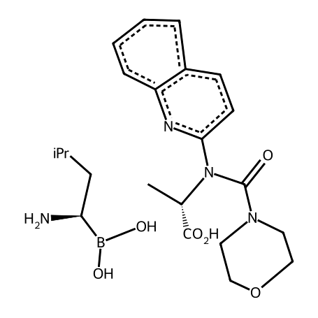 CC(C)C[C@H](N)B(O)O.C[C@@H](C(=O)O)N(C(=O)N1CCOCC1)c1ccc2ccccc2n1